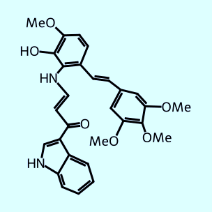 COc1ccc(C=Cc2cc(OC)c(OC)c(OC)c2)c(NC=CC(=O)c2c[nH]c3ccccc23)c1O